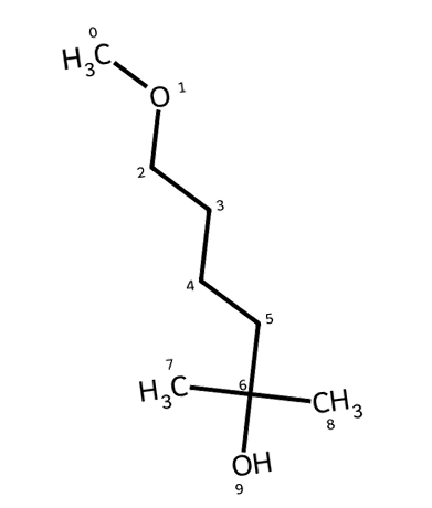 COCCCCC(C)(C)O